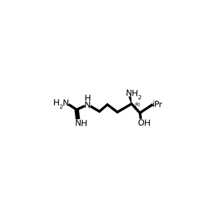 CC(C)C(O)[C@H](N)CCCNC(=N)N